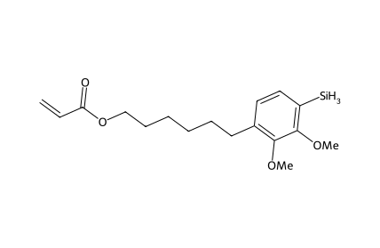 C=CC(=O)OCCCCCCc1ccc([SiH3])c(OC)c1OC